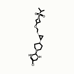 CC(C)S(=O)(=O)N1CC(OCC[C@@H]2C[C@@H]2C2CCN(C3NC=C(Cl)CN3)CC2)C1